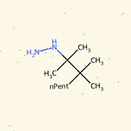 CCCCCC(C)(C)C(C)(C)NN